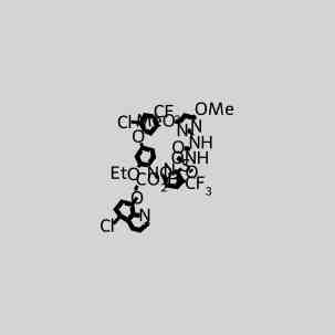 CCOc1cc(Oc2ccc(C(F)(F)F)cc2Cl)ccc1[N+](=O)[O-].COc1cc(OC)nc(NC(=O)NS(=O)(=O)c2ncccc2C(F)(F)F)n1.O=C(O)COc1ccc(Cl)c2cccnc12